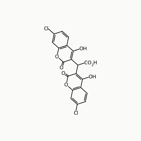 O=C(O)C(c1c(O)c2ccc(Cl)cc2oc1=O)c1c(O)c2ccc(Cl)cc2oc1=O